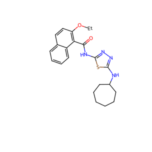 CCOc1ccc2ccccc2c1C(=O)Nc1nnc(NC2CCCCCC2)s1